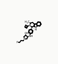 C[C@@H]1Cc2c([nH]c3ccccc23)[C@@H](c2ccc(N[C@H]3CN(CCCF)C[C@@H]3O)cc2)N1C12CC(C1)C2